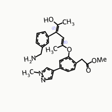 COC(=O)Cc1ccc(-c2cnn(C)c2)cc1O/C(C)=C/C(=C(\C)O)c1cccc(CN)c1